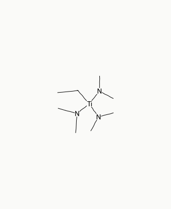 C[CH2][Ti]([N](C)C)([N](C)C)[N](C)C